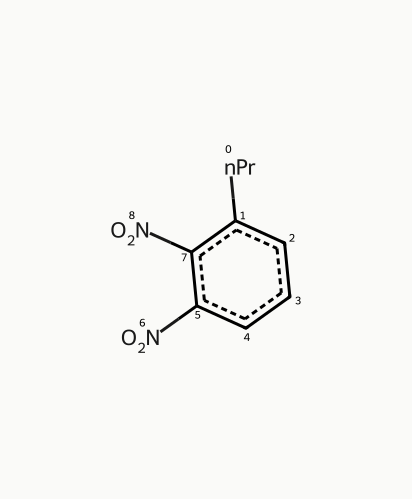 CCCc1cccc([N+](=O)[O-])c1[N+](=O)[O-]